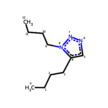 CCCCc1cnnn1CCCC